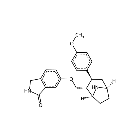 COc1ccc([C@H]2C[C@H]3CC[C@H](N3)[C@@H]2COc2ccc3c(c2)C(=O)NC3)cc1